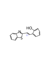 Oc1ccccc1/C=C/c1nc2ccccc2s1